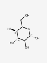 OCC1O[C@H](O)C(O)[C@H](O)[C@H]1O